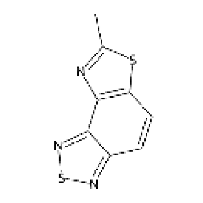 Cc1nc2c(ccc3nsnc32)s1